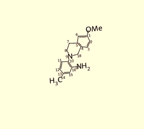 COc1ccc2c(c1)CCN(c1ccc(C)cc1N)C2